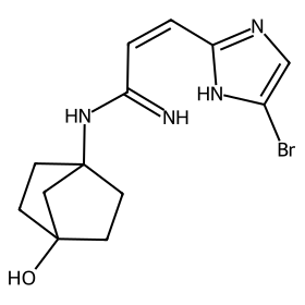 N=C(/C=C\c1ncc(Br)[nH]1)NC12CCC(O)(CC1)C2